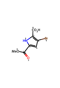 COC(=O)c1cc(Br)c(C(=O)O)[nH]1